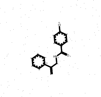 C=C(CNC(=O)c1ccc(Cl)cc1)c1ccccc1